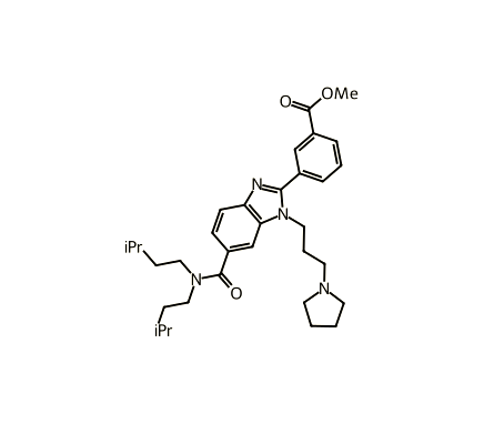 COC(=O)c1cccc(-c2nc3ccc(C(=O)N(CCC(C)C)CCC(C)C)cc3n2CCCN2CCCC2)c1